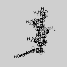 CC(C)N1C[C@@H](COP(=O)(N(C)C)N2C[C@@H](COP(=O)(N(C)C)N3C[C@@H](COP(=O)(N(C)C)N4C[C@@H](COP(=O)(N(C)C)N5CCN(C(=O)OCCOCCOCCO)CC5)O[C@@H](n5ccc(N)nc5=O)C4)O[C@@H](n4ccc(N)nc4=O)C3)O[C@@H](n3cnc4c(N)ncnc43)C2)O[C@@H](n2cnc3c(=O)[nH]c(N)nc32)C1